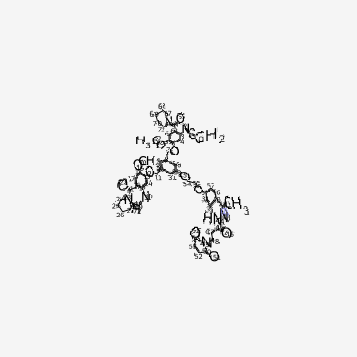 C=C=Nc1cc(OCc2cc(COc3cc4c(cc3OC)C(=O)N3CCCC[C@H]3C=N4)cc(OCCOc3ccc(/C(C)=N\NC(=O)CCN4C(=O)C=CC4=O)cc3)c2)c(OC)cc1C(=O)N1CCCCC1